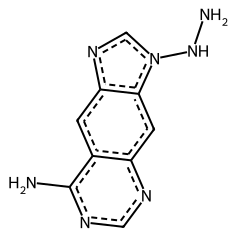 NNn1cnc2cc3c(N)ncnc3cc21